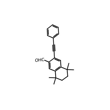 CC1(C)CCC(C)(C)c2cc(C=O)c(C#Cc3ccccc3)cc21